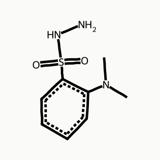 CN(C)c1ccccc1S(=O)(=O)NN